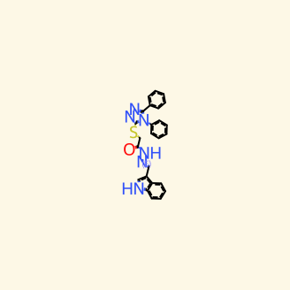 O=C(CSc1nnc(-c2ccccc2)n1-c1ccccc1)N/N=C/c1c[nH]c2ccccc12